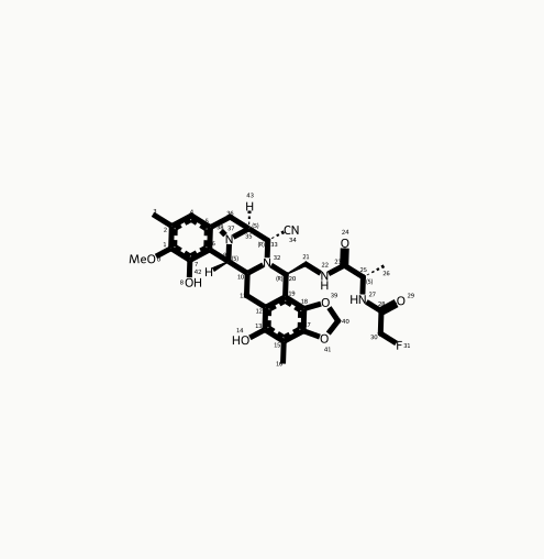 COc1c(C)cc2c(c1O)[C@H]1C3Cc4c(O)c(C)c5c(c4[C@H](CNC(=O)[C@H](C)NC(=O)CF)N3[C@@H](C#N)[C@H](C2)N1C)OCO5